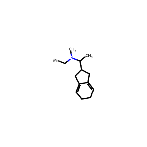 CC(C)CN(C)C(C)C1CC2=CCCC=C2C1